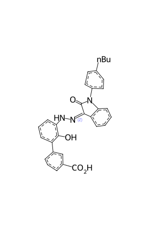 CCCCc1ccc(N2C(=O)/C(=N\Nc3cccc(-c4cccc(C(=O)O)c4)c3O)c3ccccc32)cc1